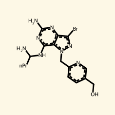 CCCC(N)Nc1nc(N)nc2c(Br)nn(Cc3ccc(CO)cn3)c12